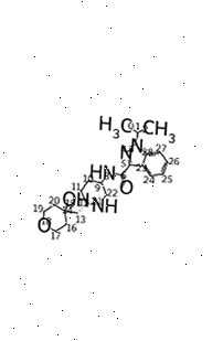 CC(C)n1nc(C(=O)NC2CC[C@@H](CC3(O)CCOCC3)NC2)c2ccccc21